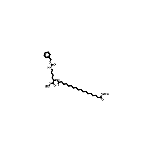 CC(C)(C)OC(=O)CCCCCCCCCCCCCCCCC(=O)NC(CCCCNC(=O)OCc1ccccc1)C(=O)OC(C)(C)C